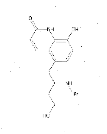 CC(C)NC(CCO)Cc1ccc(O)c2[nH]c(=O)ccc12